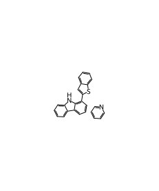 c1ccc2sc(-c3cccc4c3[nH]c3ccccc34)cc2c1.c1ccncc1